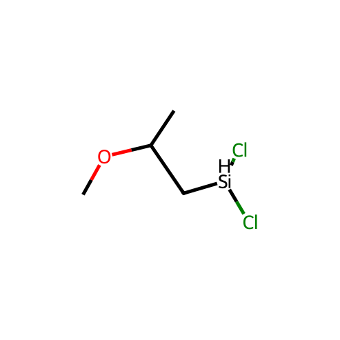 COC(C)C[SiH](Cl)Cl